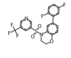 O=S(=O)(c1cncc(C(F)(F)F)c1)N1CCOc2ccc(-c3cc(F)ccc3F)cc21